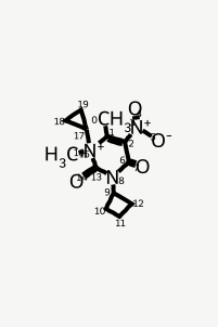 CC1=C([N+](=O)[O-])C(=O)N(C2CCC2)C(=O)[N+]1(C)C1CC1